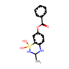 CC1Nc2ccc(OC(=O)c3ccccc3)cc2S(O)(O)N1